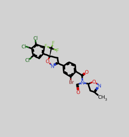 CC1=NOC(N(C=O)C(=O)c2ccc(C3=NO[C@@](c4cc(Cl)c(Cl)c(Cl)c4)(C(F)(F)F)C3)cc2Br)C1